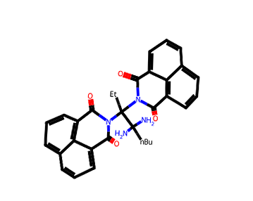 CCCCC(N)(N)C(CC)(N1C(=O)c2cccc3cccc(c23)C1=O)N1C(=O)c2cccc3cccc(c23)C1=O